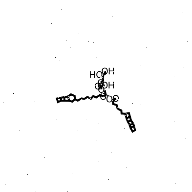 O=C(CCCCCC1CC2C1C1C3C4CCC4C3C21)OC[C@H](COP(=O)(O)OC[C@@H](O)CO)OCCCCCCCCC1CCC2C(C1)C1C3CCC3C21